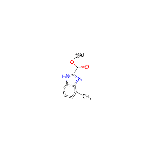 Cc1cccc2[nH]c(C(=O)OC(C)(C)C)nc12